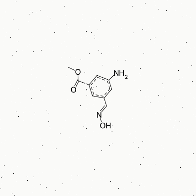 COC(=O)c1cc(N)cc(C=NO)c1